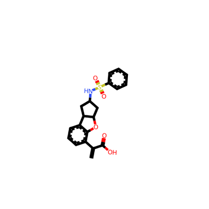 C=C(C(=O)O)c1cccc2c1OC1CC(NS(=O)(=O)c3ccccc3)CC21